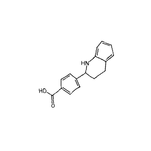 O=C(O)c1ccc(C2CCc3ccccc3N2)cc1